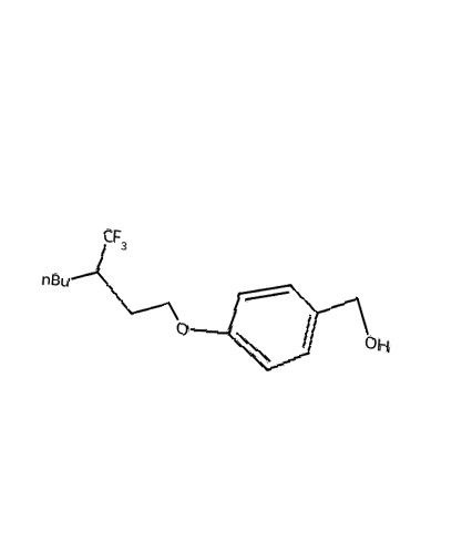 CCCCC(CCOc1ccc(CO)cc1)C(F)(F)F